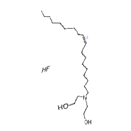 CCCCCCCC/C=C\CCCCCCCCN(CCO)CCO.F